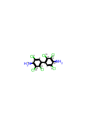 Nc1c(Cl)cc(-c2cc(Cl)c(N)c(Cl)c2Cl)c(Cl)c1Cl